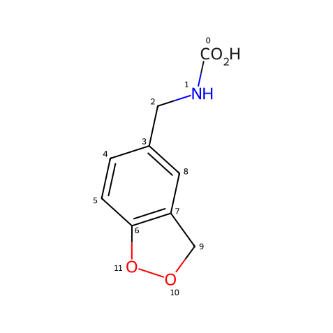 O=C(O)NCc1ccc2c(c1)COO2